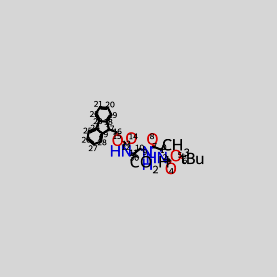 CC(NC(=O)OC(C)(C)C)C(=O)NCC(NC(=O)OCC1c2ccccc2-c2ccccc21)C(=O)O